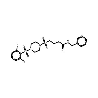 O=S(=O)(CCSC(=S)NCc1cccnc1)N1CCN(S(=O)(=O)c2c(F)cccc2F)CC1